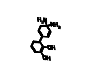 NC1(N)C=CC(c2cccc(O)c2O)=CC1